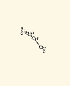 CC(=O)NC[C@H]1CN(c2ccc(C#Cc3ccc4c(c3)CCC4=O)c(F)c2)C(=O)O1